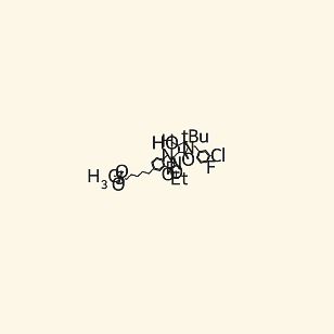 CCOP1(=O)N=C(C2=C(O)[C@H](C(C)(C)C)N(Cc3ccc(F)c(Cl)c3)C2=O)Nc2ccc(CCCCCS(C)(=O)=O)cc21